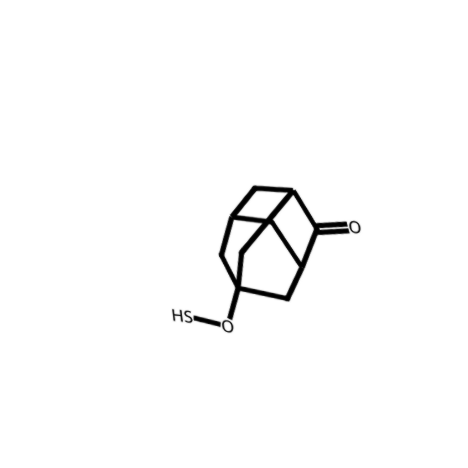 O=C1C2CC3CC1CC(OS)(C3)C2